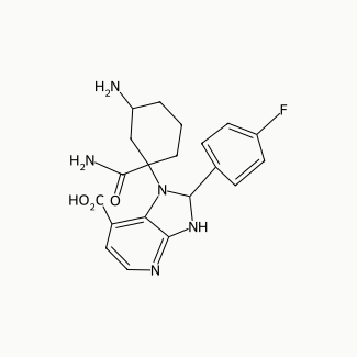 NC(=O)C1(N2c3c(C(=O)O)ccnc3NC2c2ccc(F)cc2)CCCC(N)C1